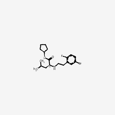 CC(C)C[C@H](NCCc1cc(Br)ccc1F)C(=O)OC1CCCC1